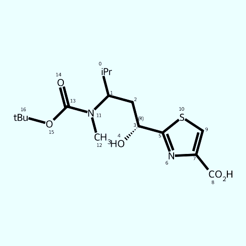 CC(C)C(C[C@@H](O)c1nc(C(=O)O)cs1)N(C)C(=O)OC(C)(C)C